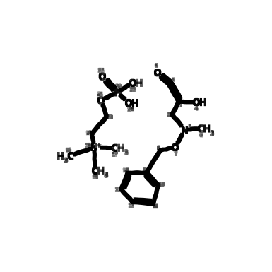 CN(CC(O)=C=O)OCc1ccccc1.C[N+](C)(C)CCOP(=O)(O)O